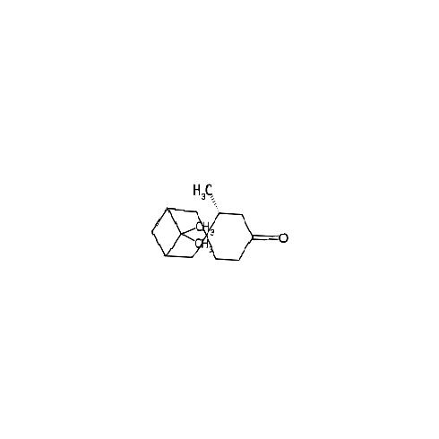 C[C@@H]1CC(=O)CCC12CC1CC(C2)C1(C)C